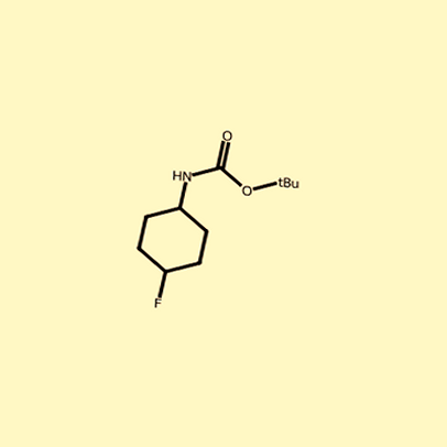 CC(C)(C)OC(=O)NC1CCC(F)CC1